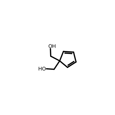 OCC1(CO)C=CC=C1